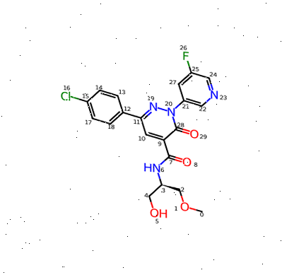 COC[C@@H](CO)NC(=O)c1cc(-c2ccc(Cl)cc2)nn(-c2cncc(F)c2)c1=O